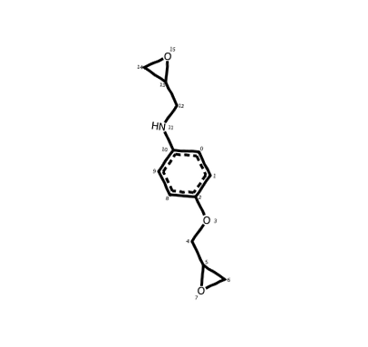 c1cc(OCC2CO2)ccc1NCC1CO1